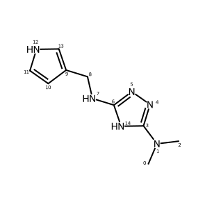 CN(C)c1nnc(NCc2cc[nH]c2)[nH]1